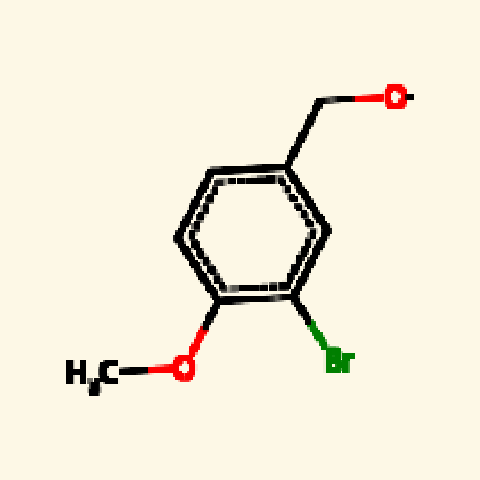 COc1ccc(C[O])cc1Br